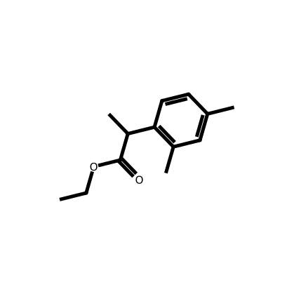 CCOC(=O)C(C)c1ccc(C)cc1C